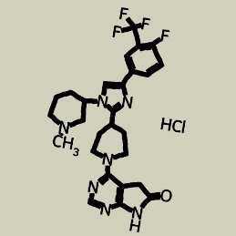 CN1CCCC(n2cc(-c3ccc(F)c(C(F)(F)F)c3)nc2C2CCN(c3ncnc4c3CC(=O)N4)CC2)C1.Cl